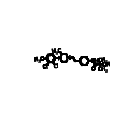 Cc1ccc(N2CCN(CCC3CCC(NC(=O)C(C)(C)O)CC3)CC2C)c(Cl)c1Cl